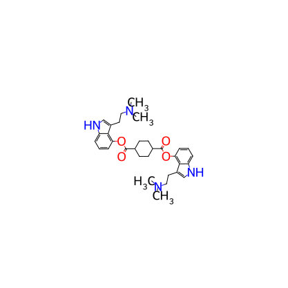 CN(C)CCc1c[nH]c2cccc(OC(=O)C3CCC(C(=O)Oc4cccc5[nH]cc(CCN(C)C)c45)CC3)c12